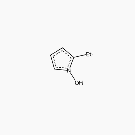 C[CH]c1cccn1O